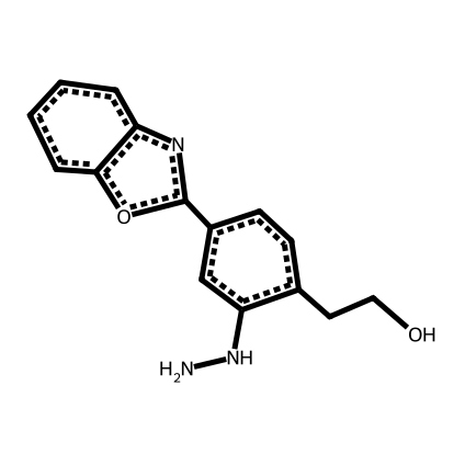 NNc1cc(-c2nc3ccccc3o2)ccc1CCO